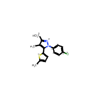 Cc1ccc(-c2c(C)c(C(=O)O)nn2-c2ccc(Cl)cc2)s1